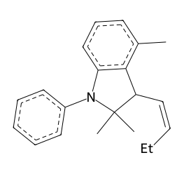 CC/C=C\C1c2c(C)cccc2N(c2ccccc2)C1(C)C